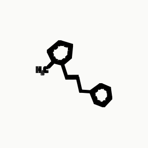 Cc1ccccc1C=CCc1ccccc1